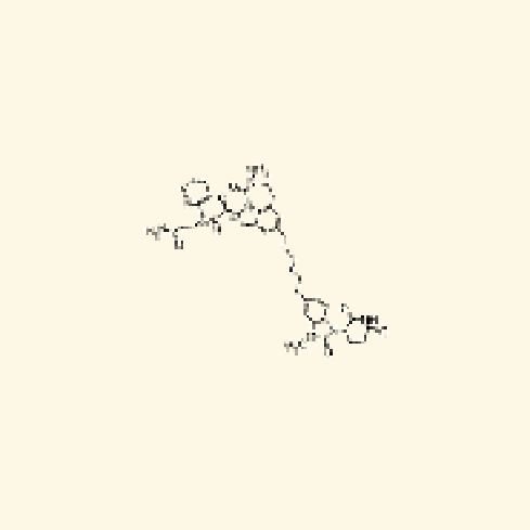 Cn1c(=O)n(C2CCC(=O)NC2=O)c2ccc(CCCCCCc3cc4c5c(c3)C[C@@H](C(=O)N[C@@H](CCC(N)=O)c3ccccn3)N5C(=O)[C@@H](N)CC4)cc21